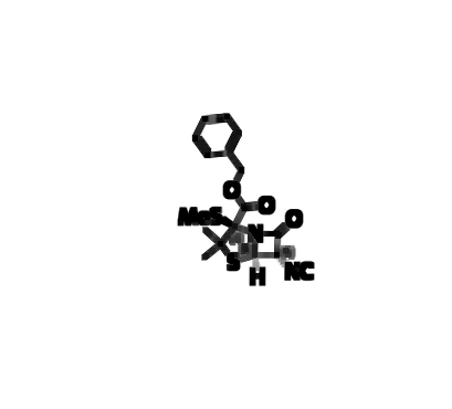 [C-]#[N+][C@H]1C(=O)N2[C@@H]1SC(C)(C)[C@]2(SC)C(=O)OCc1ccccc1